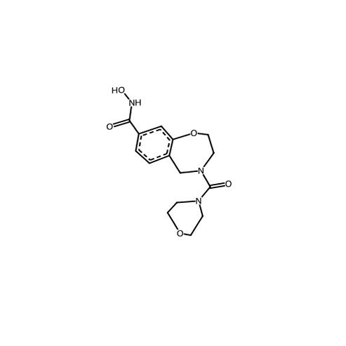 O=C(NO)c1ccc2c(c1)OCCN(C(=O)N1CCOCC1)C2